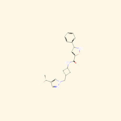 C[C@H](O)c1cnn(CC2CC(NC(=O)C3=CC(c4ccccc4)NO3)C2)c1